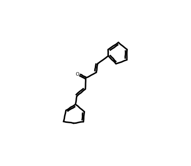 O=C(/C=C/C1=CCCC=C1)/C=C/c1ccccc1